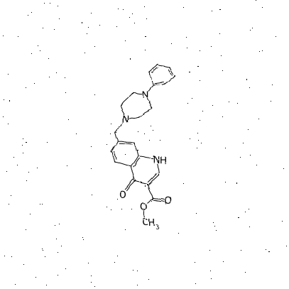 COC(=O)c1c[nH]c2cc(CN3CCN(c4ccccc4)CC3)ccc2c1=O